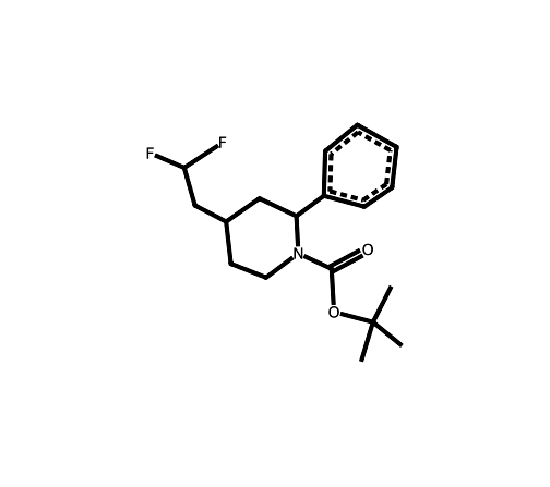 CC(C)(C)OC(=O)N1CCC(CC(F)F)CC1c1ccccc1